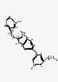 Cc1cncc(-c2ccc3nc(Nc4cnccn4)sc3c2)c1